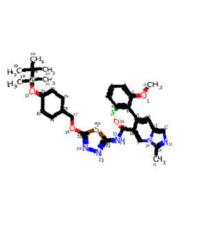 COc1cccc(F)c1-c1cc2cnc(C)n2cc1C(=O)Nc1nnc(OCC2CCC(O[Si](C)(C)C(C)(C)C)CC2)s1